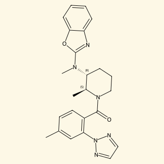 Cc1ccc(C(=O)N2CCC[C@@H](N(C)c3nc4ccccc4o3)[C@@H]2C)c(-n2nccn2)c1